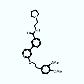 COc1ccc(CCOc2cc(-c3cccc(C(=O)NCCN4CCCC4)c3)ccn2)cc1OC